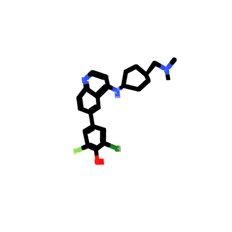 CN(C)C[C@H]1CC[C@H](Nc2[c]cnc3ccc(-c4cc(F)c(O)c(Cl)c4)cc23)CC1